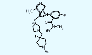 CC(=O)N1CCC(F)(CN2CC[C@@H](Cc3cn(-c4ccc(F)cc4C(=O)N(C)C(C)C)c4cncc(C)c34)C2)CC1